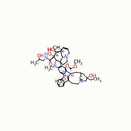 CCC1(O)CC2C[N@](CCc3c([nH]c4ccccc34)[C@@](C(=O)OC)(c3cc4c(cc3OC)N(C)C3C45CCN4CC=C[C@](CC)(C45)[C@@H](O)[C@]3(O)C(=O)NCC(C)O)C2)C1